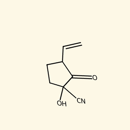 C=CC1CCC(O)(C#N)C1=O